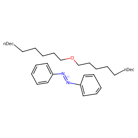 CCCCCCCCCCCCCCCOCCCCCCCCCCCCCCC.c1ccc(/N=N/c2ccccc2)cc1